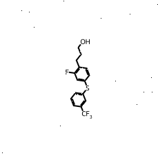 OCCCc1ccc(Sc2cccc(C(F)(F)F)c2)cc1F